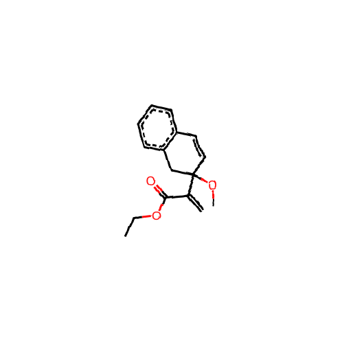 C=C(C(=O)OCC)C1(OC)C=Cc2ccccc2C1